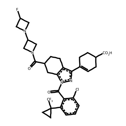 O=C(O)C1CC=C(c2nn(C(=O)c3c(Cl)cccc3C3(C(F)(F)F)CC3)c3c2CCC(C(=O)N2CC(N4CC(F)C4)C2)C3)CC1